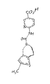 Cc1cc2c(s1)CCN(C(=O)Nc1ccc(C(=O)O)cn1)C2